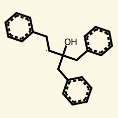 OC([CH]Cc1ccccc1)(Cc1ccccc1)Cc1ccccc1